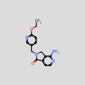 Nc1nccc2c1CN(Cc1ccc(OCC(F)(F)F)nc1)C2=O